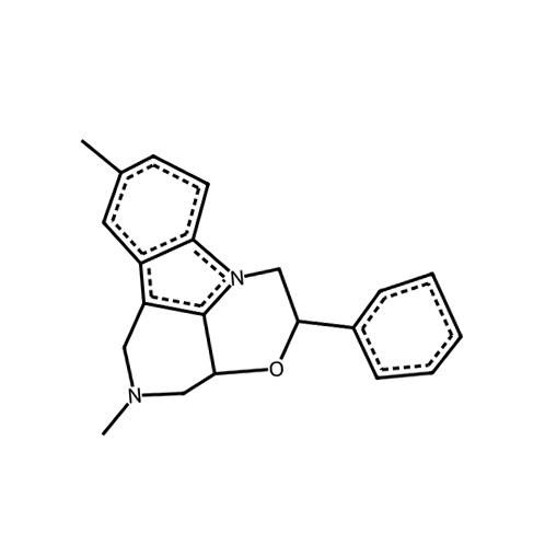 Cc1ccc2c(c1)c1c3n2CC(c2ccccc2)OC3CN(C)C1